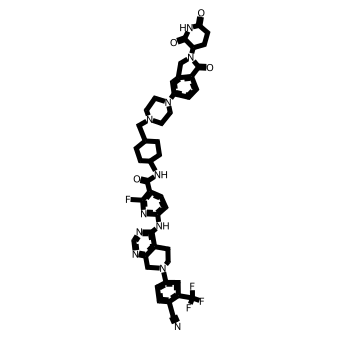 N#Cc1ccc(N2CCc3c(ncnc3Nc3ccc(C(=O)NC4CCC(CN5CCN(c6ccc7c(c6)CN(C6CCC(=O)NC6=O)C7=O)CC5)CC4)c(F)n3)C2)cc1C(F)(F)F